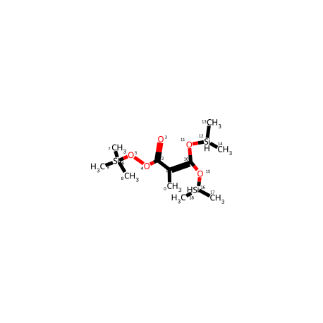 CC(C(=O)OO[Si](C)(C)C)=C(O[SiH](C)C)O[SiH](C)C